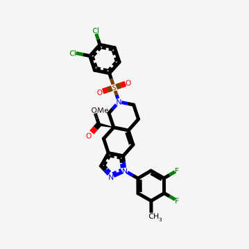 COC(=O)[C@]12Cc3cnn(C4=CC(C)C(F)C(F)=C4)c3C=C1CCN(S(=O)(=O)c1ccc(Cl)c(Cl)c1)C2